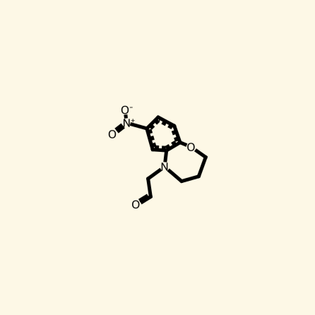 O=CCN1CCCOc2ccc([N+](=O)[O-])cc21